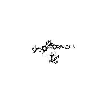 CN1CCN(CCn2cc3c(n2)CCc2c-3sc3ncnc(Nc4ccc(OCc5cscn5)c(Cl)c4)c23)CC1.O=C(O)C(F)(F)F.O=C(O)C(F)(F)F